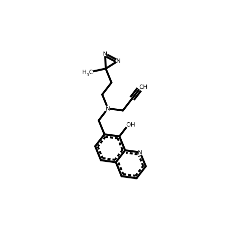 C#CCN(CCC1(C)N=N1)Cc1ccc2cccnc2c1O